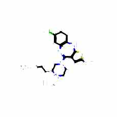 COCC[C@H]1CN(C2=NC3=C(CCC(Cl)=C3)Nc3sc(C(F)(F)F)cc32)CCN1C